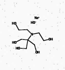 OCCN(CCO)C(CO)(CO)CO.[Na+].[OH-]